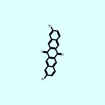 O=C1c2cc3ccc(Br)cc3cc2C(=O)c2cc3cc(Br)ccc3cc21